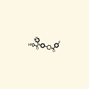 O=C(c1ccc(F)cc1)N1CCC(c2ccc(N(C(=O)C3CNC3)c3ccnnc3)cc2)CC1